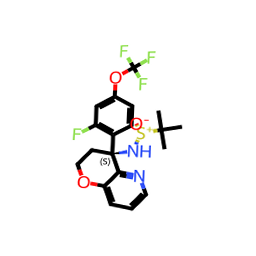 CC(C)(C)[S+]([O-])N[C@]1(c2ccc(OC(F)(F)F)cc2F)CCOc2cccnc21